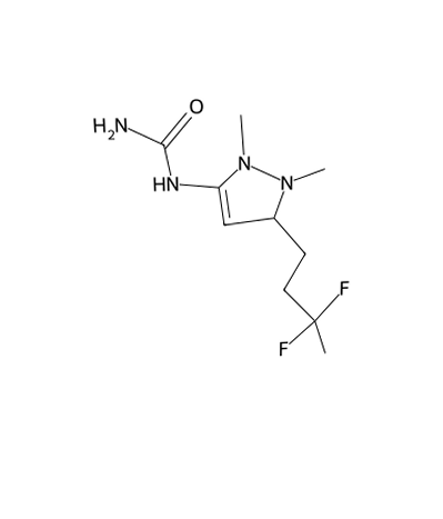 CN1C(NC(N)=O)=CC(CCC(C)(F)F)N1C